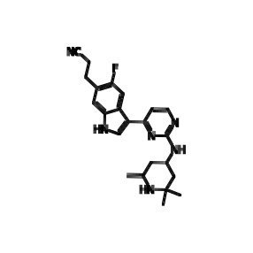 C=C1CC(Nc2nccc(-c3c[nH]c4cc(CCC#N)c(F)cc34)n2)CC(C)(C)N1